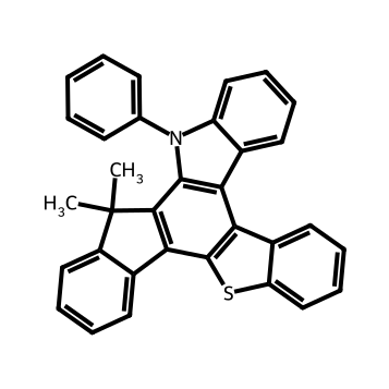 CC1(C)c2ccccc2-c2c1c1c(c3ccccc3n1-c1ccccc1)c1c2sc2ccccc21